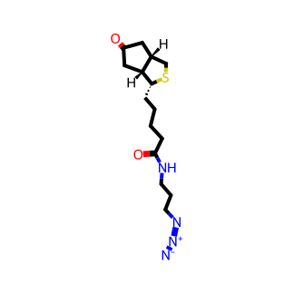 [N-]=[N+]=NCCCNC(=O)CCCC[C@H]1SC[C@H]2CC(=O)C[C@H]21